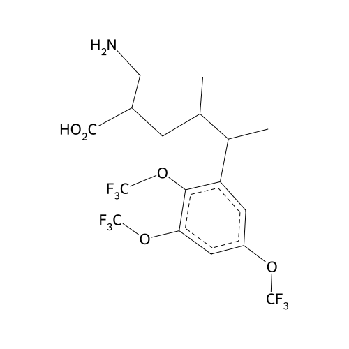 CC(CC(CN)C(=O)O)C(C)c1cc(OC(F)(F)F)cc(OC(F)(F)F)c1OC(F)(F)F